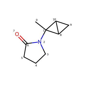 CC1(N2CCCC2=O)C2CC21